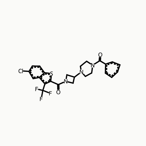 O=C(c1ccccc1)N1CCN(C2CN(C(=O)c3sc4ccc(Cl)cc4c3C(F)(F)F)C2)CC1